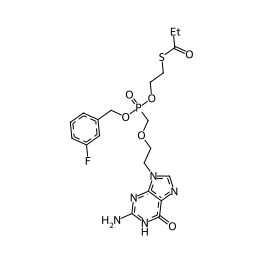 CCC(=O)SCCOP(=O)(COCCn1cnc2c(=O)[nH]c(N)nc21)OCc1cccc(F)c1